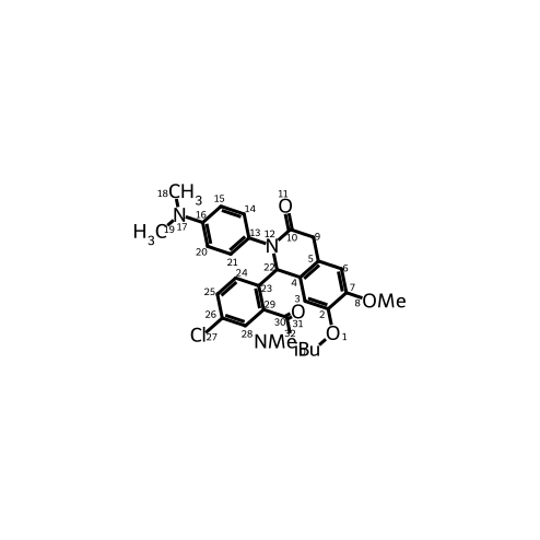 CCC(C)Oc1cc2c(cc1OC)CC(=O)N(c1ccc(N(C)C)cc1)C2c1ccc(Cl)cc1C(=O)NC